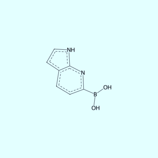 OB(O)c1ccc2cc[nH]c2n1